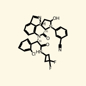 N#Cc1cccc(N2C(O)CC[C@H]2C(=O)N(c2cccc3cn[nH]c23)[C@H](C(=O)NC2CC(F)(F)C2)c2ccccc2Cl)c1